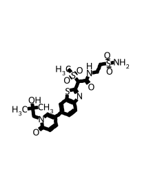 CC(C)(O)Cn1cc(-c2ccc3nc(C(C(=O)NCCS(N)(=O)=O)S(C)(=O)=O)sc3c2)ccc1=O